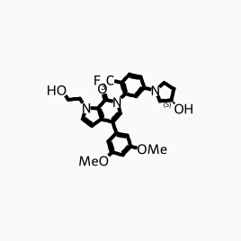 COc1cc(OC)cc(-c2cn(-c3cc(N4CC[C@H](O)C4)ccc3C(F)(F)F)c(=O)c3c2ccn3CCO)c1